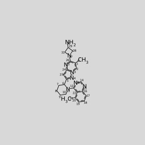 Cc1cn2nc(C3CCCCN3c3ncnc4cccc(C)c34)cc2nc1N1CC(N)C1